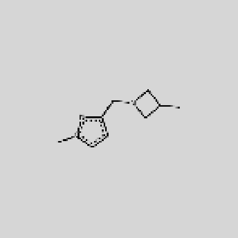 CC1CN(Cc2ccn(C)n2)C1